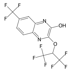 Oc1nc2cc(C(F)(F)F)ccc2nc1OC(C(F)(F)F)C(F)(F)F